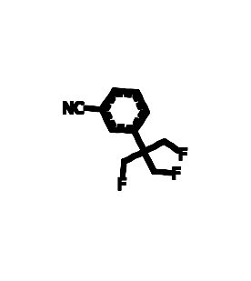 N#Cc1cccc(C(CF)(CF)CF)c1